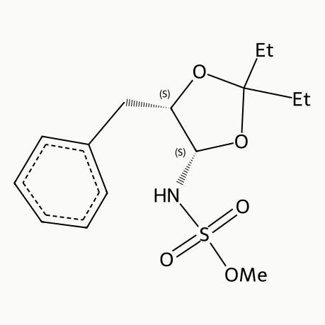 CCC1(CC)O[C@@H](Cc2ccccc2)[C@@H](NS(=O)(=O)OC)O1